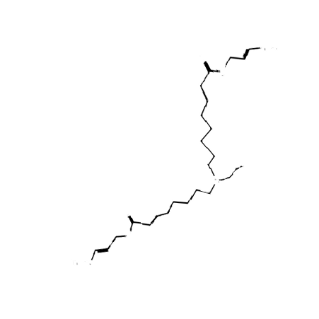 CCCCCCC=CCOC(=O)CCCCCCCN(CCO)CCCCCCCC(=O)OCC=CCCCCCC